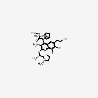 C[C@H](Oc1nc2c(F)c(Br)c(CCC#N)cc2c(N(C(=O)OC(C)(C)C)C2C3CC2N(C(=O)O)C3)c1N)[C@@H]1CCCN1C